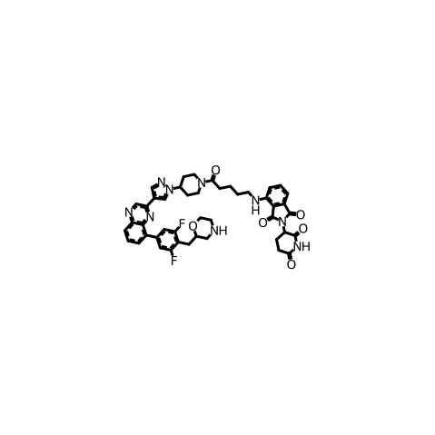 O=C1CCC(N2C(=O)c3cccc(NCCCCC(=O)N4CCC(n5cc(-c6cnc7cccc(-c8cc(F)c(CC9CNCCO9)c(F)c8)c7n6)cn5)CC4)c3C2=O)C(=O)N1